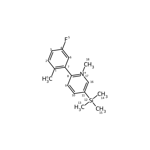 Cc1ccc(F)cc1-c1ccc([Si](C)(C)C)c[n+]1C